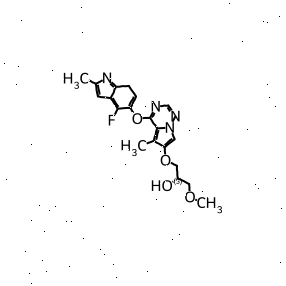 COC[C@H](O)COc1cn2ncnc(OC3=CCC4=NC(C)=CC4=C3F)c2c1C